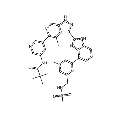 CC(C)(C)C(=O)Nc1cncc(-c2ncc3[nH]nc(-c4nc5c(-c6cc(F)cc(CNS(C)(=O)=O)c6)cccc5[nH]4)c3c2F)c1